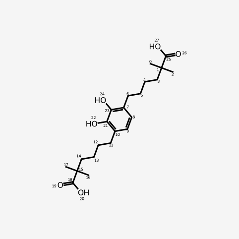 CC(C)(CCCCc1ccc(CCCCC(C)(C)C(=O)O)c(O)c1O)C(=O)O